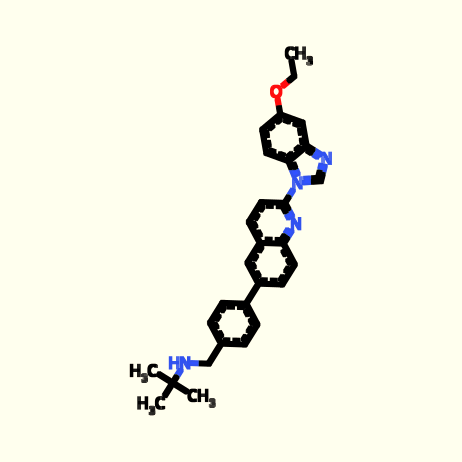 CCOc1ccc2c(c1)ncn2-c1ccc2cc(-c3ccc(CNC(C)(C)C)cc3)ccc2n1